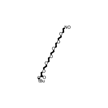 CC(C)(C)OC(=O)COCCOCCOCCOCCOCCOCCN=O